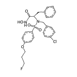 O=C(NO)[C@@H](Cc1ccccc1)N(Cc1ccc(Cl)cc1)S(=O)(=O)c1ccc(OCCCF)cc1